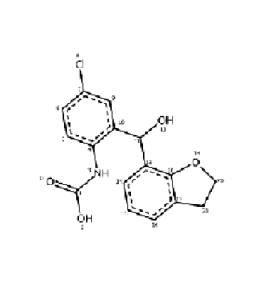 O=C(O)Nc1ccc(Cl)cc1C(O)c1cccc2c1OCC2